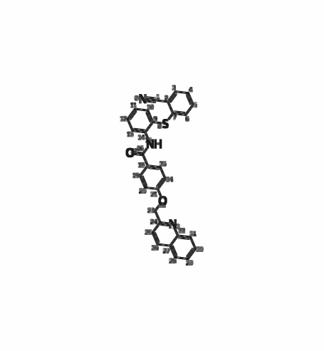 N#Cc1ccccc1Sc1ccccc1NC(=O)c1ccc(OCc2ccc3ccccc3n2)cc1